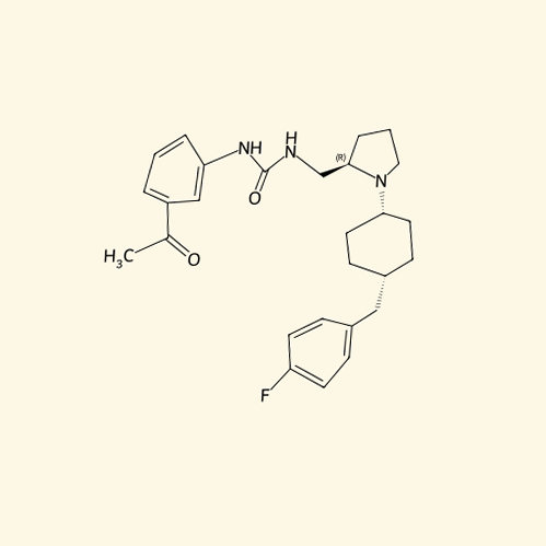 CC(=O)c1cccc(NC(=O)NC[C@H]2CCCN2[C@H]2CC[C@@H](Cc3ccc(F)cc3)CC2)c1